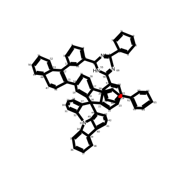 c1ccc(C2=NC(c3cccc(-c4c(-c5ccc6c(c5)C5(c7ccccc7-6)c6ccccc6-n6c7ccccc7c7cccc5c76)ccc5ccccc45)c3)NC(c3cccc(-c4ccccc4)c3)=N2)cc1